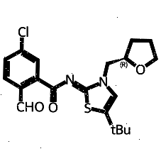 CC(C)(C)c1cn(C[C@H]2CCCO2)c(=NC(=O)c2cc(Cl)ccc2C=O)s1